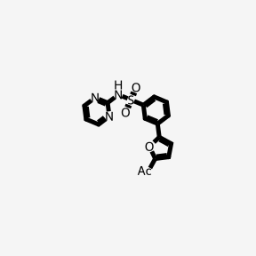 CC(=O)c1ccc(-c2cccc(S(=O)(=O)Nc3ncccn3)c2)o1